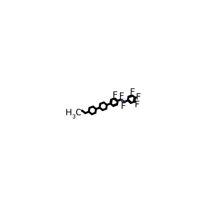 CCCC1CCC(C2CCC(c3ccc(/C(F)=C(\F)c4cc(F)c(F)c(F)c4)c(F)c3)CC2)CC1